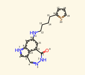 O=C1NN=Cc2c[nH]c3cc(NCCCCc4cccs4)cc1c23